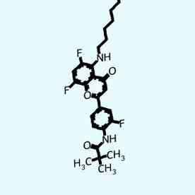 CCCCCCCNc1c(F)cc(F)c2oc(-c3ccc(NC(=O)C(C)(C)C)c(F)c3)cc(=O)c12